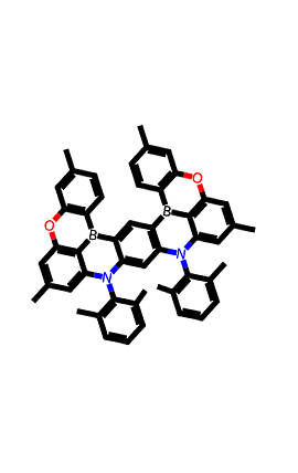 Cc1ccc2c(c1)Oc1cc(C)cc3c1B2c1cc2c(cc1N3c1c(C)cccc1C)N(c1c(C)cccc1C)c1cc(C)cc3c1B2c1ccc(C)cc1O3